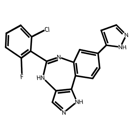 Fc1cccc(Cl)c1C1=Nc2cc(-c3ccn[nH]3)ccc2-c2[nH]ncc2N1